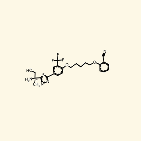 C[C@](N)(CO)c1nnc(-c2ccc(OCCCCCOc3ccccc3C#N)c(C(F)(F)F)c2)s1